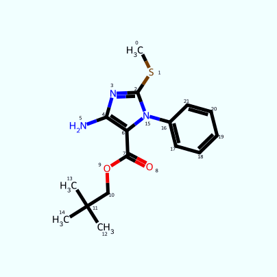 CSc1nc(N)c(C(=O)OCC(C)(C)C)n1-c1ccccc1